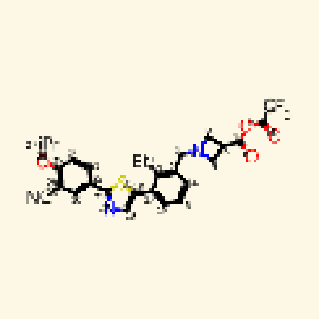 CCc1c(CN2CC(C(=O)OC(=O)C(F)(F)F)C2)cccc1-c1cnc(-c2ccc(OC(C)C)c(C#N)c2)s1